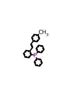 Cc1ccc(/C=C/c2ccccc2P(c2ccccc2)c2ccccc2)cc1